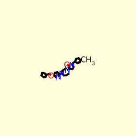 Cc1ccc(CN2CCC(N3CCCN(c4ccc(OCc5ccccc5)cn4)CC3)C2=O)cc1